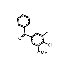 COc1cc(C(=O)c2ccccc2)cc(I)c1Cl